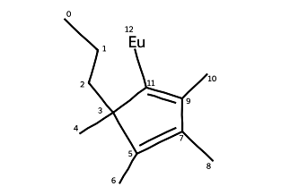 CCCC1(C)C(C)=C(C)C(C)=[C]1[Eu]